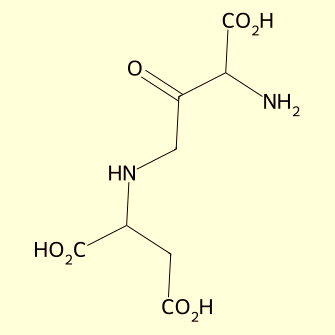 NC(C(=O)O)C(=O)CNC(CC(=O)O)C(=O)O